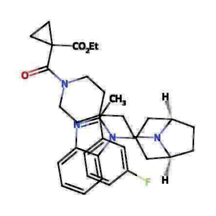 CCOC(=O)C1(C(=O)N2CCC(CCN3[C@@H]4CC[C@H]3CC(n3c(C)nc5ccccc53)C4)(c3cccc(F)c3)CC2)CC1